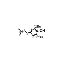 CN(C)CCc1cc(C(C)(C)C)c(O)c(C(C)(C)C)c1